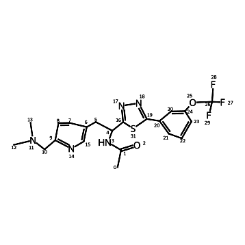 CC(=O)NC(Cc1ccc(CN(C)C)nc1)c1nnc(-c2cccc(OC(F)(F)F)c2)s1